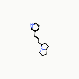 C(=Cc1cccnc1)CC1CCC2CCCN12